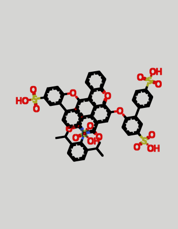 CC(C)c1cccc(C(C)C)c1-n1c(=O)c2cc(Oc3ccc(S(=O)(=O)O)cc3-c3ccc(S(=O)(=O)O)cc3)c3oc4ccccc4c4c(Oc5ccc(S(=O)(=O)O)cc5-c5ccc(S(=O)(=O)O)cc5)cc(c1=O)c2c34